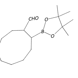 CC1(C)OB(C2CCCCCCCC2C=O)OC1(C)C